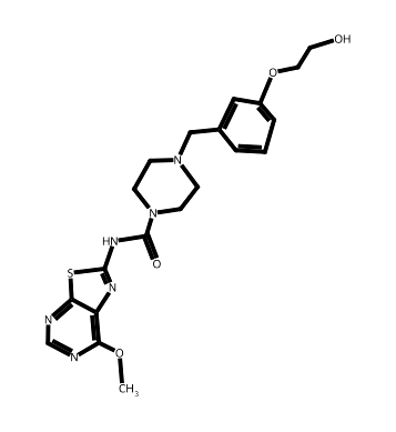 COc1ncnc2sc(NC(=O)N3CCN(Cc4cccc(OCCO)c4)CC3)nc12